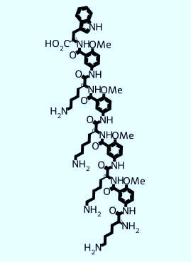 COc1ccc(NC(=O)[C@H](CCCCN)NC(=O)c2cc(NC(=O)[C@H](CCCCCN)NC(=O)c3cc(NC(=O)[C@H](CCCCCN)NC(=O)c4cc(NC(=O)[C@@H](N)CCCCN)ccc4OC)ccc3OC)ccc2OC)cc1C(=O)N[C@@H](Cc1c[nH]c2ccccc12)C(=O)O